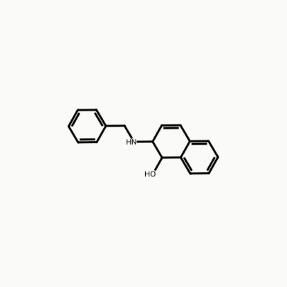 OC1c2ccccc2C=CC1NCc1ccccc1